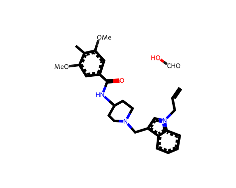 C=CCn1cc(CN2CCC(NC(=O)c3cc(OC)c(C)c(OC)c3)CC2)c2ccccc21.O=CO